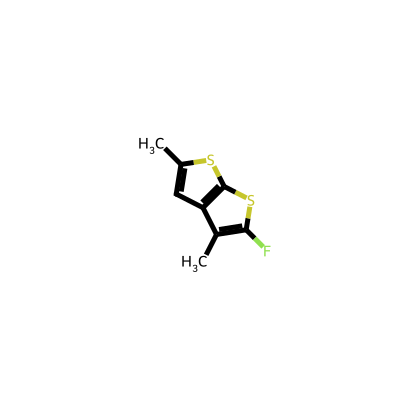 Cc1cc2c(C)c(F)sc2s1